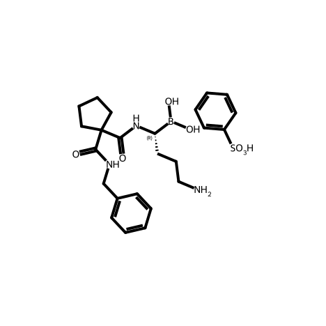 NCCC[C@H](NC(=O)C1(C(=O)NCc2ccccc2)CCCC1)B(O)O.O=S(=O)(O)c1ccccc1